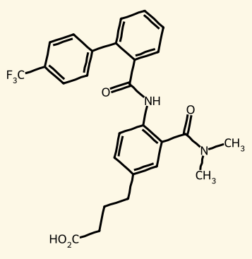 CN(C)C(=O)c1cc(CCCC(=O)O)ccc1NC(=O)c1ccccc1-c1ccc(C(F)(F)F)cc1